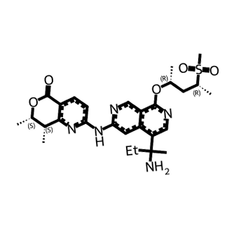 CCC(C)(N)c1cnc(O[C@H](C)C[C@@H](C)S(C)(=O)=O)c2cnc(Nc3ccc4c(n3)[C@H](C)[C@H](C)OC4=O)cc12